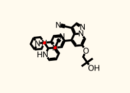 CC(C)(O)COc1cc(-c2ccc(N3CC4CC(C3)N4CC3NC=CC=C3C#N)nc2)c2c(C#N)cnn2c1